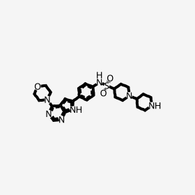 O=S(=O)(Nc1ccc(-c2cc3c(N4CCOCC4)ncnc3[nH]2)cc1)C1CCN(C2CCNCC2)CC1